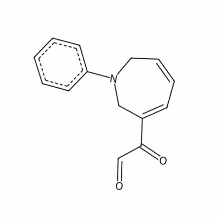 O=CC(=O)C1=CC=CCN(c2ccccc2)C1